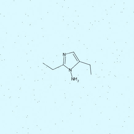 CCc1cnc(CC)n1N